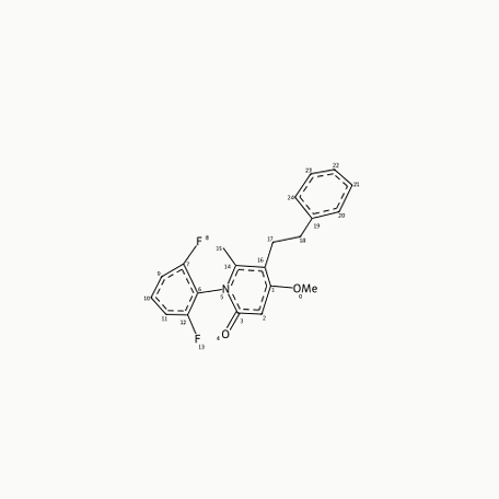 COc1cc(=O)n(-c2c(F)cccc2F)c(C)c1CCc1ccccc1